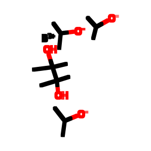 CC(C)(O)C(C)(C)O.CC(C)[O-].CC(C)[O-].CC(C)[O-].[B+3]